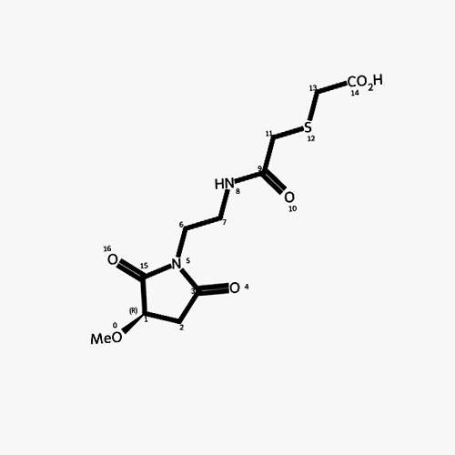 CO[C@@H]1CC(=O)N(CCNC(=O)CSCC(=O)O)C1=O